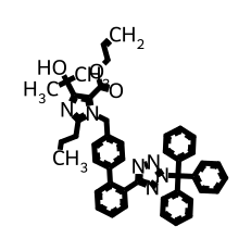 C=CCOC(=O)c1c(C(C)(C)O)nc(CCC)n1Cc1ccc(-c2ccccc2-c2nnn(C(c3ccccc3)(c3ccccc3)c3ccccc3)n2)cc1